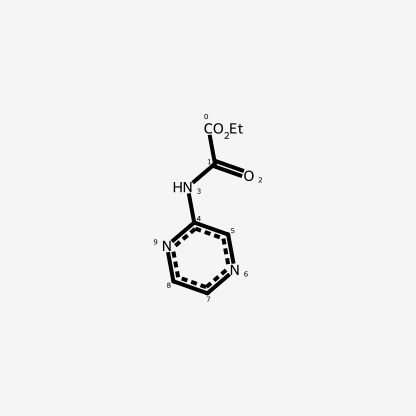 CCOC(=O)C(=O)Nc1cnccn1